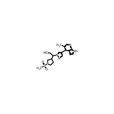 Cc1cnc2[nH]ccc2c1-c1cnn(C(CC#N)C2CCN(S(C)(=O)=O)C2)c1